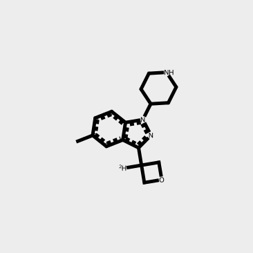 [2H]C1(c2nn(C3CCNCC3)c3ccc(C)cc23)COC1